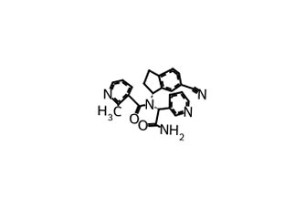 Cc1ncccc1C(=O)N([C@@H]1CCc2ccc(C#N)cc21)[C@@H](C(N)=O)c1cccnc1